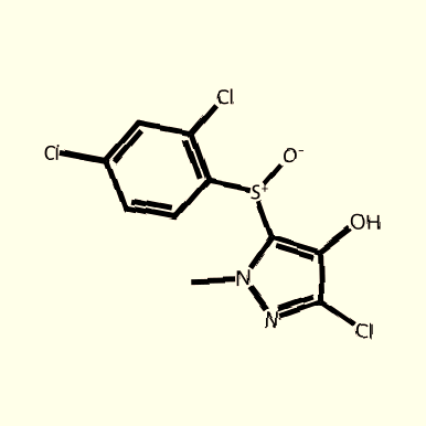 Cn1nc(Cl)c(O)c1[S+]([O-])c1ccc(Cl)cc1Cl